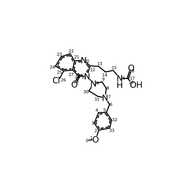 COc1ccc(CN2CCN(n3c(CCCNC(=O)O)nc4cccc(Cl)c4c3=O)CC2)cc1